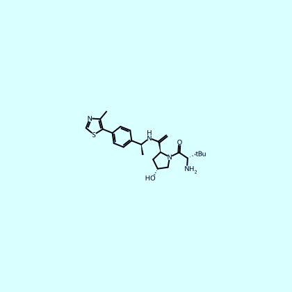 C=C(N[C@@H](C)c1ccc(-c2scnc2C)cc1)[C@@H]1C[C@@H](O)CN1C(=O)[C@@H](N)C(C)(C)C